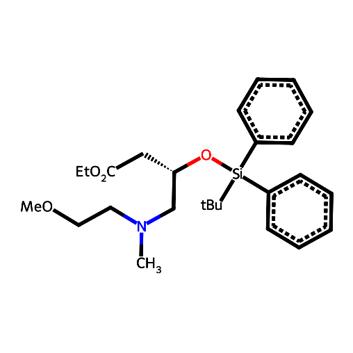 CCOC(=O)C[C@@H](CN(C)CCOC)O[Si](c1ccccc1)(c1ccccc1)C(C)(C)C